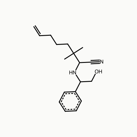 C=CCCCC(C)(C)C(C#N)NC(CO)c1ccccc1